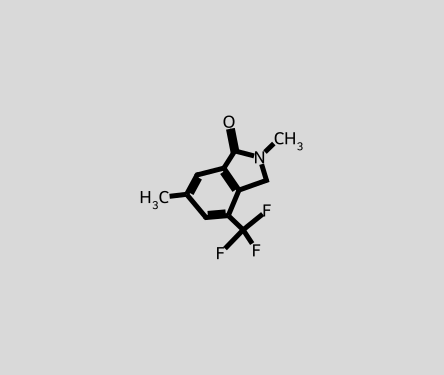 Cc1cc2c(c(C(F)(F)F)c1)CN(C)C2=O